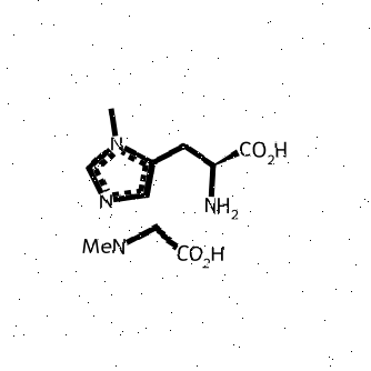 CNCC(=O)O.Cn1cncc1C[C@H](N)C(=O)O